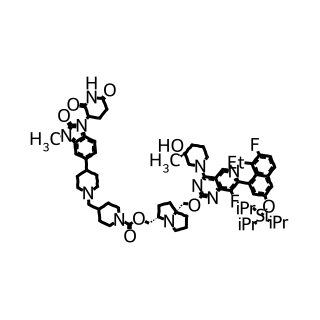 CCc1c(F)ccc2cc(O[Si](C(C)C)(C(C)C)C(C)C)cc(-c3ncc4c(N5CCC[C@@](C)(O)C5)nc(OC[C@]56CCCN5[C@H](COC(=O)N5CCC(CN7CCC(c8ccc9c(c8)n(C)c(=O)n9C8CCC(=O)NC8=O)CC7)CC5)CC6)nc4c3F)c12